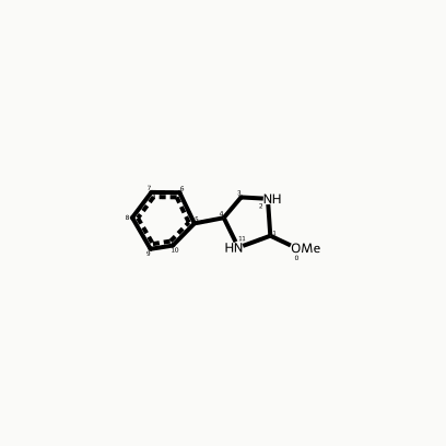 COC1NCC(c2ccccc2)N1